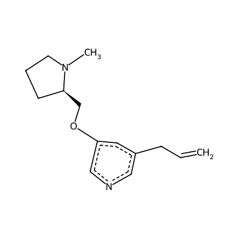 C=CCc1cncc(OC[C@H]2CCCN2C)c1